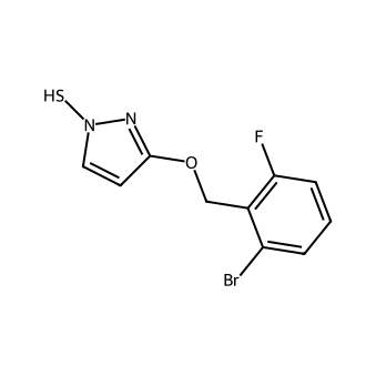 Fc1cccc(Br)c1COc1ccn(S)n1